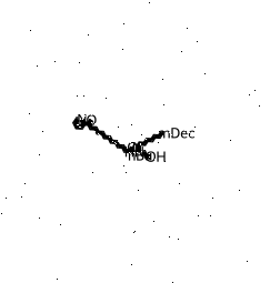 CCCCCCCCCCCCCCCCCN(NCCO)OC(CCCC)CCCCCCCCCCCC(=O)c1ccccn1